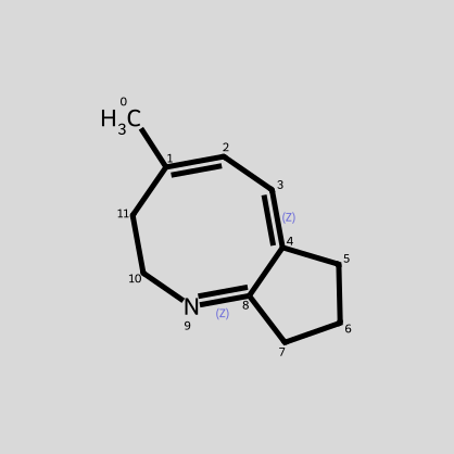 CC1=C/C=C2/CCC/C2=N/CC1